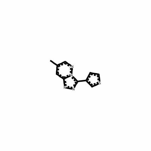 Cc1cnn2c(-c3ccsc3)nnc2c1